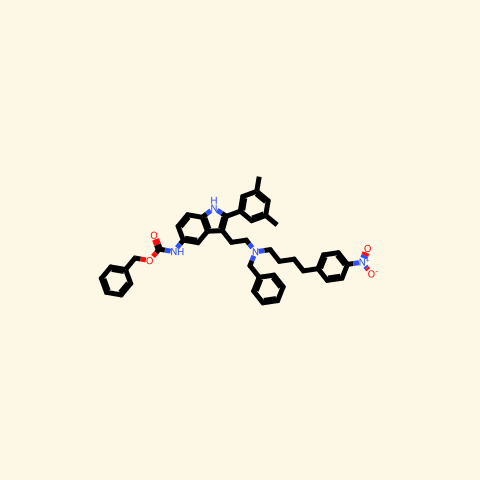 Cc1cc(C)cc(-c2[nH]c3ccc(NC(=O)OCc4ccccc4)cc3c2CCN(CCCCc2ccc([N+](=O)[O-])cc2)Cc2ccccc2)c1